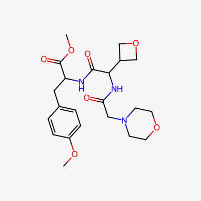 COC(=O)C(Cc1ccc(OC)cc1)NC(=O)C(NC(=O)CN1CCOCC1)C1COC1